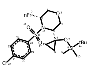 CCC[C@@H]1COC[C@H](C2(O[Si](C)(C)C(C)(C)C)CC2)N1S(=O)(=O)c1ccc(Cl)cc1